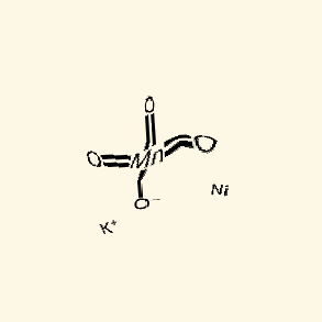 [K+].[Ni].[O]=[Mn](=[O])(=[O])[O-]